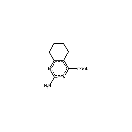 CCCCCc1nc(N)nc2c1CCCC2